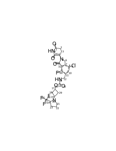 O=C1CC[C@@H](N2Cc3c(Cl)cc(CNC(=O)OC4CC(N5CCCC5C(F)(F)F)C4)c(F)c3C2=O)C(=O)N1